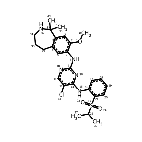 COc1cc2c(cc1Nc1ncc(Cl)c(Nc3ccccc3S(=O)(=O)C(C)C)n1)CCCNC2(C)C